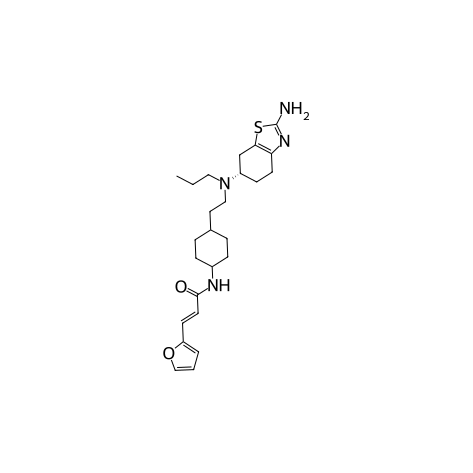 CCCN(CCC1CCC(NC(=O)/C=C/c2ccco2)CC1)[C@H]1CCc2nc(N)sc2C1